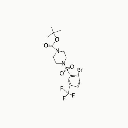 CC(C)(C)OC(=O)N1CCN(S(=O)(=O)c2cc(C(F)(F)F)ccc2Br)CC1